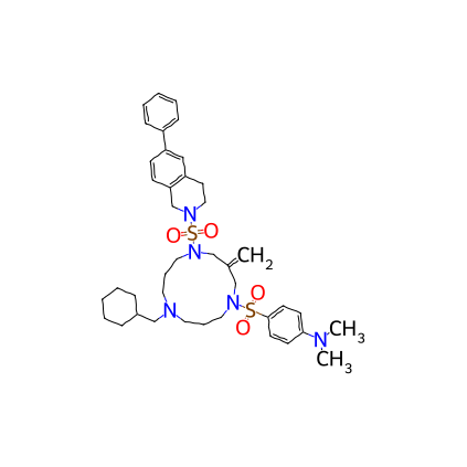 C=C1CN(S(=O)(=O)c2ccc(N(C)C)cc2)CCCN(CC2CCCCC2)CCCN(S(=O)(=O)N2CCc3cc(-c4ccccc4)ccc3C2)C1